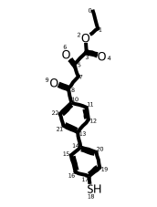 CCOC(=O)C(=O)CC(=O)c1ccc(-c2ccc(S)cc2)cc1